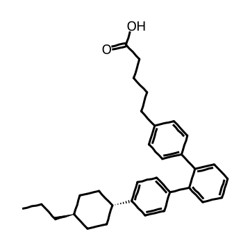 CCC[C@H]1CC[C@H](c2ccc(-c3ccccc3-c3ccc(CCCCC(=O)O)cc3)cc2)CC1